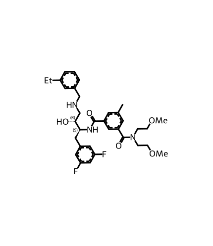 CCc1cccc(CNC[C@@H](O)[C@H](Cc2cc(F)cc(F)c2)NC(=O)c2cc(C)cc(C(=O)N(CCOC)CCOC)c2)c1